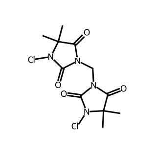 CC1(C)C(=O)N(CN2C(=O)N(Cl)C(C)(C)C2=O)C(=O)N1Cl